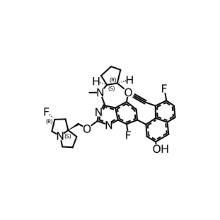 C#Cc1c(F)ccc2cc(O)cc(-c3cc4c5c(nc(OC[C@@]67CCCN6C[C@H](F)C7)nc5c3F)N(C)[C@H]3CCC[C@H]3O4)c12